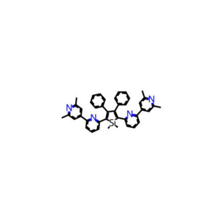 Cc1cc(-c2cccc(C3=C(c4ccccc4)C(c4ccccc4)=C(c4cccc(-c5cc(C)nc(C)c5)n4)[Si]3(C)C)n2)cc(C)n1